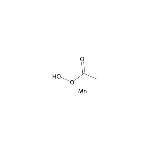 CC(=O)OO.[Mn]